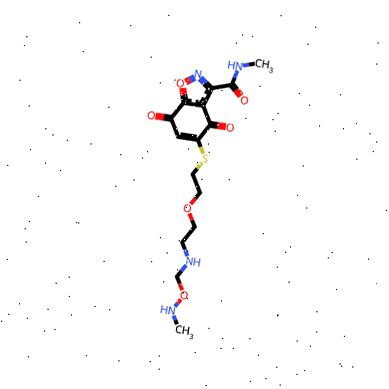 CNOCNCCOCCSC1=CC(=O)c2onc(C(=O)NC)c2C1=O